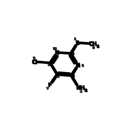 CSc1nc(N)c(F)c(Cl)n1